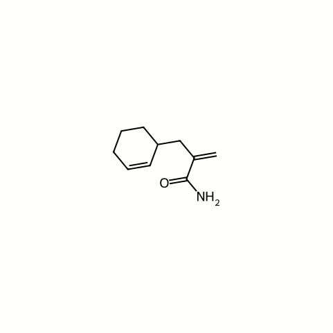 C=C(CC1C=CCCC1)C(N)=O